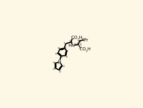 CC(C)C[C@H](NC(Cc1ccc(-n2cccc2)cc1)C(=O)O)C(=O)O